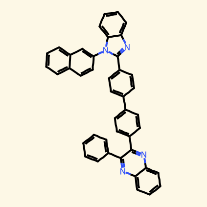 c1ccc(-c2nc3ccccc3nc2-c2ccc(-c3ccc(-c4nc5ccccc5n4-c4ccc5ccccc5c4)cc3)cc2)cc1